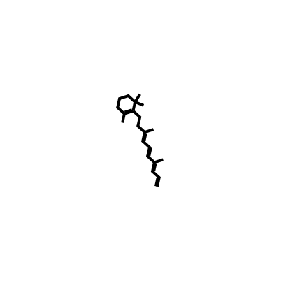 C=C/C=C(C)/C=C/C=C(\C)CCC1=C(C)CCCC1(C)C